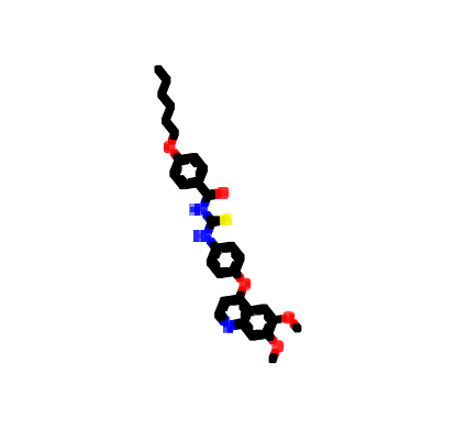 CCCCCCOc1ccc(C(=O)NC(=S)Nc2ccc(Oc3ccnc4cc(OC)c(OC)cc34)cc2)cc1